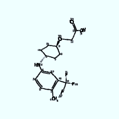 Cc1ccc(N[C@H]2CC[C@H](OCC(=O)O)CC2)cc1C(F)(F)F